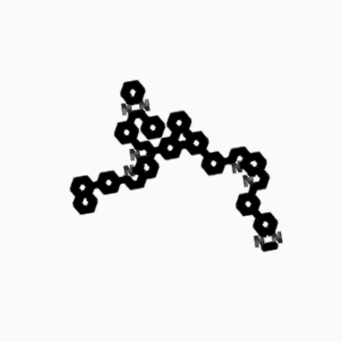 c1ccc(-c2nc3ccccc3nc2-c2cccc(-c3cc(-c4ccc5c6cc(-c7cccc(-c8ccc9ccc%10ccc(-c%11cccc(-c%12ccc%13nccnc%13c%12)c%11)nc%10c9n8)c7)ccc6c6ccccc6c5c4)c4ccc5ccc(-c6ccc(-c7cccc8ccccc78)cc6)nc5c4n3)c2)cc1